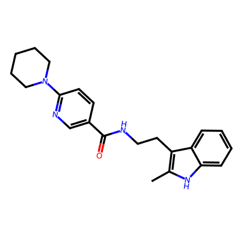 Cc1[nH]c2ccccc2c1CCNC(=O)c1ccc(N2CCCCC2)nc1